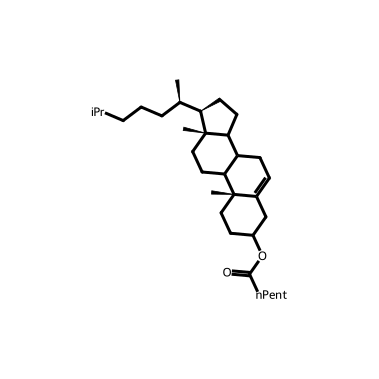 CCCCCC(=O)OC1CC[C@@]2(C)C(=CCC3C2CC[C@@]2(C)C3CC[C@@H]2[C@H](C)CCCC(C)C)C1